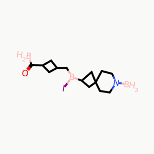 BC(=O)C1CC(CB(I)C2CC3(CCN(B)CC3)C2)C1